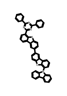 c1ccc(-c2nc(-c3ccccc3)nc(-c3cccc4c3sc3ccc(-c5ccc6oc7c(-n8c9ccccc9c9ccccc98)cccc7c6c5)cc34)n2)cc1